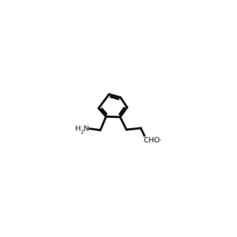 NCc1ccccc1CC[C]=O